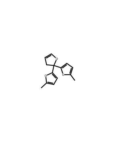 Cc1ccc(C2(c3ccc(C)o3)CC=CO2)o1